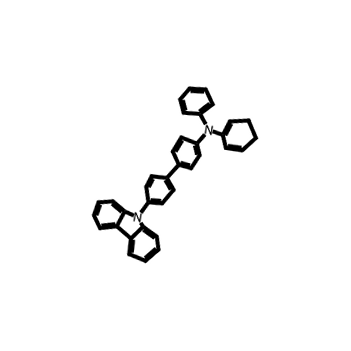 C1=CC(N(c2ccccc2)c2ccc(-c3ccc(-n4c5ccccc5c5ccccc54)cc3)cc2)=CCC1